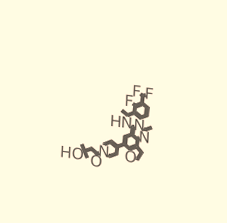 Cc1nc(NC(C)c2cccc(C(F)F)c2F)c2cc(C3=CCN(C(=O)CC(C)(C)O)CC3)c3c(c2n1)CCO3